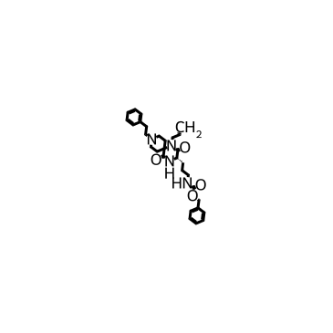 C=CCN1C(=O)[C@H](CCCNC(=O)OCc2ccccc2)NC(=O)C12CCN(CCc1ccccc1)CC2